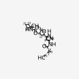 C#C[C@H]1C[C@@H]1C(=O)Nc1cc([C@H]2C[C@@H](OC(=O)NC3(C)CCC3)CO2)[nH]n1